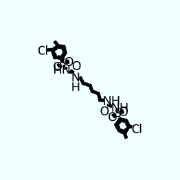 Cc1ccc(S(=O)(=O)NC(=O)NCCCCCCNC(=O)NS(=O)(=O)c2ccc(C)c(Cl)c2)cc1Cl